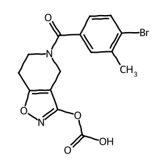 Cc1cc(C(=O)N2CCc3onc(OC(=O)O)c3C2)ccc1Br